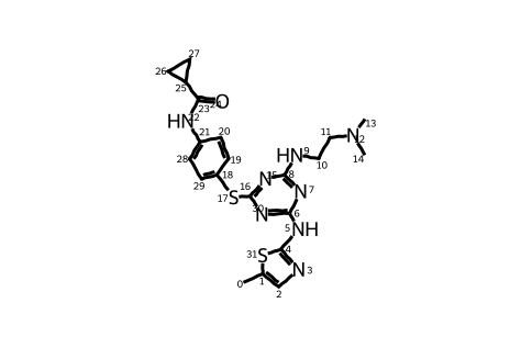 Cc1cnc(Nc2nc(NCCN(C)C)nc(Sc3ccc(NC(=O)C4CC4)cc3)n2)s1